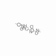 Cc1ccc(NC(=O)N2CC=C(c3ncc(C4=NC(C)(C)CO4)cc3Cl)CC2)cc1